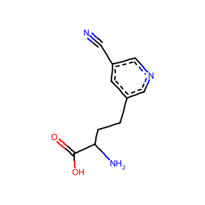 N#Cc1cncc(CCC(N)C(=O)O)c1